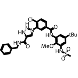 COc1c(NC(=O)c2ccc(Cl)c(N3C=C(C(=O)NCc4ccccc4)NN3)c2)cc(C(C)(C)C)cc1NS(C)(=O)=O